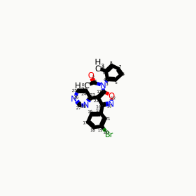 CC(=O)N(c1ccccc1C)c1onc(-c2cccc(Br)c2)c1-c1ccncn1